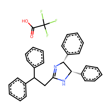 O=C(O)C(F)(F)F.c1ccc(C(CC2=N[C@H](c3ccccc3)[C@H](c3ccccc3)N2)c2ccccc2)cc1